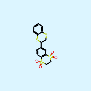 O=S1(=O)CCS(=O)(=O)c2cc(C3CSc4ccccc4S3)ccc21